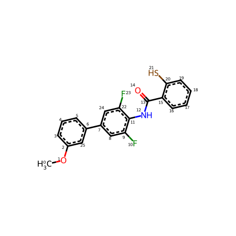 COc1cccc(-c2cc(F)c(NC(=O)c3ccccc3S)c(F)c2)c1